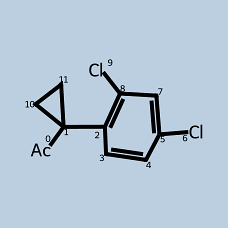 CC(=O)C1(c2ccc(Cl)cc2Cl)CC1